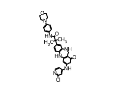 CC(C)(C(=O)Nc1ccc(N2CCOCC2)cc1)c1ccc2c(c1)NCC1=C(C=C(Nc3ccnc(Cl)c3)CC1=O)N2